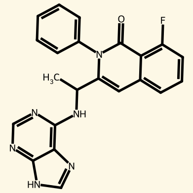 CC(Nc1ncnc2[nH]cnc12)c1cc2cccc(F)c2c(=O)n1-c1ccccc1